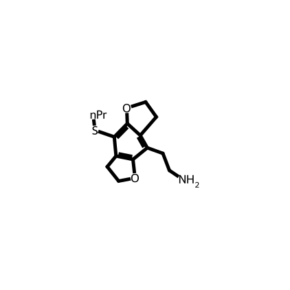 CCCSc1c2c(c(CCN)c3c1OCC3)OCC2